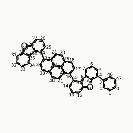 c1ccc(-c2cccc3c2oc2cccc(-c4ccc5ccc6c(-c7cccc8oc9ccccc9c78)ccc7ccc4c5c76)c23)cc1